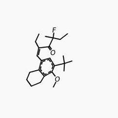 CCC(=Cc1cc(C(C)(C)C)c(OC)c2c1CCCC2)C(=O)C(C)(F)CC